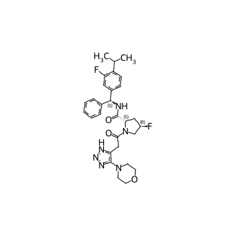 CC(C)c1ccc([C@@H](NC(=O)[C@@H]2C[C@@H](F)CN2C(=O)Cc2[nH]nnc2N2CCOCC2)c2ccccc2)cc1F